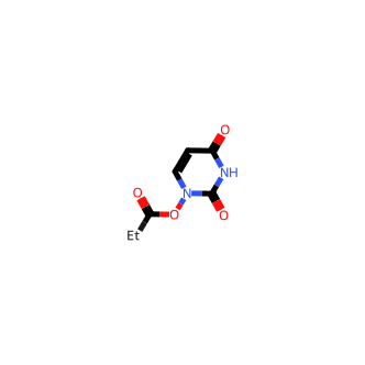 CCC(=O)On1ccc(=O)[nH]c1=O